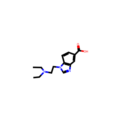 CCN(CC)CCn1cnc2cc(C(=O)O)ccc21